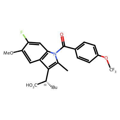 CCC(C)[C@H](C(=O)O)c1c(C)n(C(=O)c2ccc(OC(F)(F)F)cc2)c2cc(F)c(OC)cc12